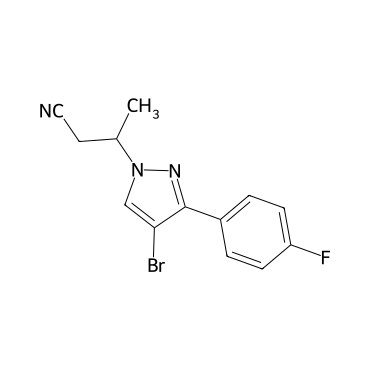 CC(CC#N)n1cc(Br)c(-c2ccc(F)cc2)n1